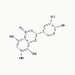 O=c1cc(-c2ccc(O)c(O)c2)oc2c(O)c(O)cc(O)c12